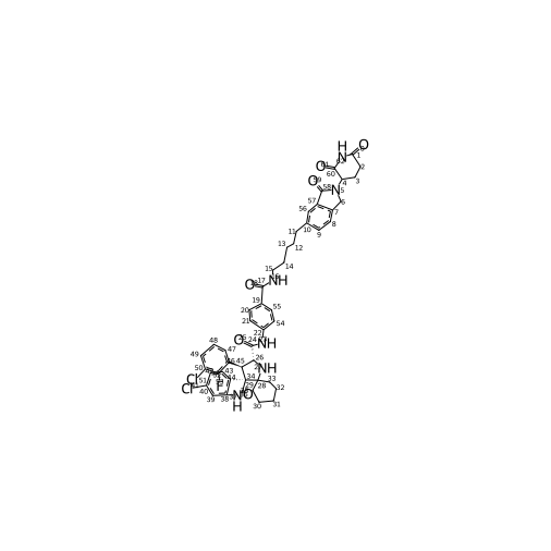 O=C1CCC(N2Cc3ccc(CCCCCNC(=O)c4ccc(NC(=O)[C@@H]5NC6(CCCCC6)[C@@]6(C(=O)Nc7cc(Cl)ccc76)[C@H]5c5cccc(Cl)c5F)cc4)cc3C2=O)C(=O)N1